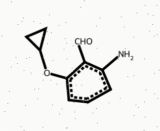 Nc1cccc(OC2CC2)c1C=O